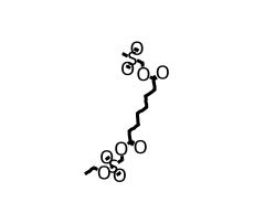 CCOS(=O)(=O)COC(=O)CCCCCCC(=O)OCS(C)(=O)=O